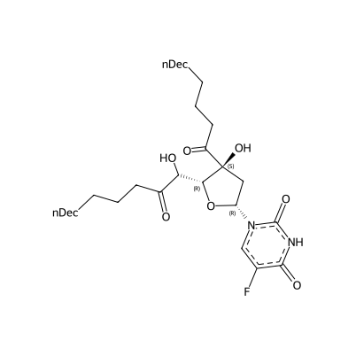 CCCCCCCCCCCCCC(=O)C(O)[C@H]1O[C@@H](n2cc(F)c(=O)[nH]c2=O)C[C@@]1(O)C(=O)CCCCCCCCCCCCC